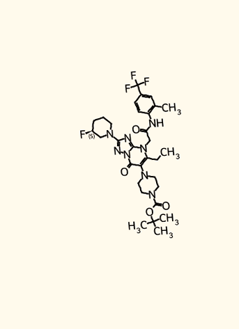 CCc1c(N2CCN(C(=O)OC(C)(C)C)CC2)c(=O)n2nc(N3CCC[C@H](F)C3)nc2n1CC(=O)Nc1ccc(C(F)(F)F)cc1C